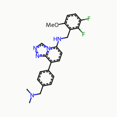 COc1ccc(F)c(F)c1CNc1ccc(-c2ccc(CN(C)C)cc2)c2nncn12